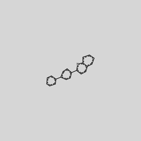 c1ccc(-c2ccc(-c3ccc4ccccc4n3)cc2)cc1